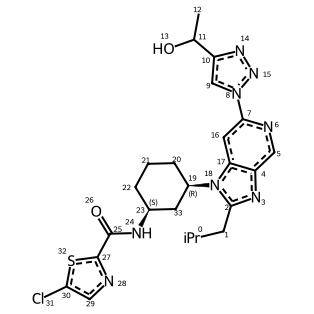 CC(C)Cc1nc2cnc(-n3cc(C(C)O)nn3)cc2n1[C@@H]1CCC[C@H](NC(=O)c2ncc(Cl)s2)C1